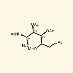 COC(COC(C)=O)[C@H](OC(C)=O)[C@H](OC(C)=O)[C@@H](C)NC(C)=O